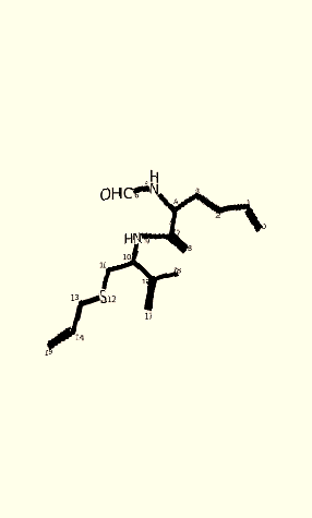 C=CCCC(NC=O)C(=C)NC(CSCC=C)C(=C)C